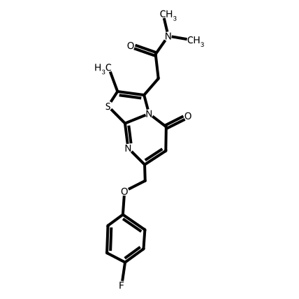 Cc1sc2nc(COc3ccc(F)cc3)cc(=O)n2c1CC(=O)N(C)C